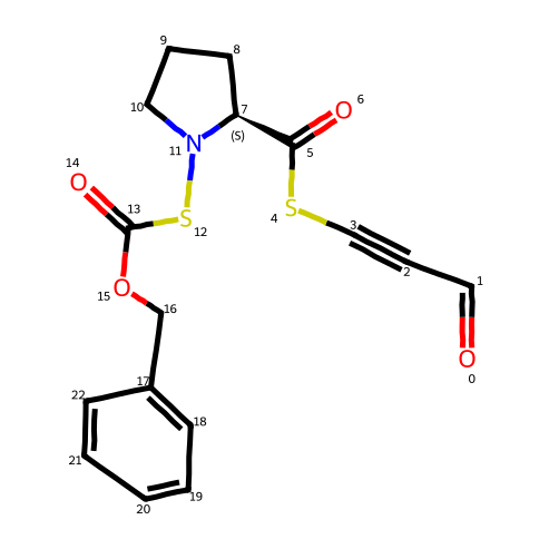 O=CC#CSC(=O)[C@@H]1CCCN1SC(=O)OCc1ccccc1